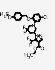 CCOC(=O)c1cnn(C2CN(c3cc(Cl)ccc3OCc3ccc(OC)cc3)CC(F)(F)C2)c1C(F)F